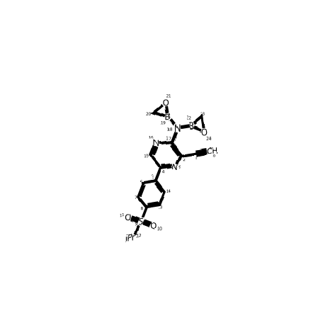 C#Cc1nc(-c2ccc(S(=O)(=O)C(C)C)cc2)cnc1N(B1CO1)B1CO1